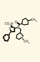 CC1CCC(C(=O)N(CC2CCCN(C)C2)c2cc(-c3ccccc3)sc2C(=O)O)CC1